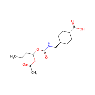 CCCC(OC(C)=O)OC(=O)NC[C@H]1CC[C@H](C(=O)O)CC1